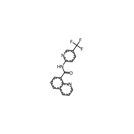 O=C(Nc1ccc(C(F)(F)F)cn1)c1cccc2cccnc12